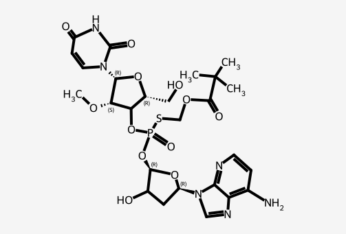 CO[C@H]1C(OP(=O)(O[C@H]2O[C@@H](n3cnc4c(N)ccnc43)CC2O)SCOC(=O)C(C)(C)C)[C@@H](CO)O[C@H]1n1ccc(=O)[nH]c1=O